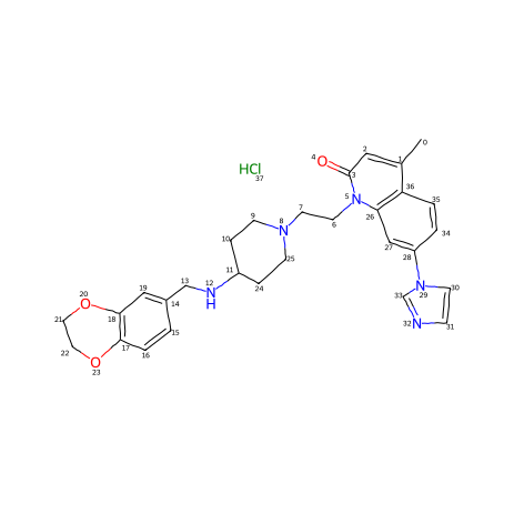 Cc1cc(=O)n(CCN2CCC(NCc3ccc4c(c3)OCCO4)CC2)c2cc(-n3ccnc3)ccc12.Cl